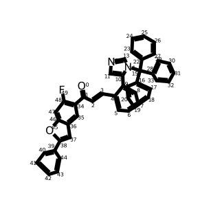 O=C(C=Cc1ccccc1-c1cncn1C(c1ccccc1)(c1ccccc1)c1ccccc1)c1cc2cc(-c3ccccc3)oc2cc1F